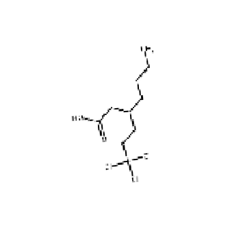 CCCCC(CCC(Cl)(Cl)Cl)CC(=O)O